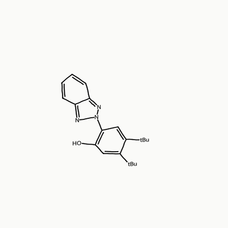 CC(C)(C)c1cc(O)c(-n2nc3ccccc3n2)cc1C(C)(C)C